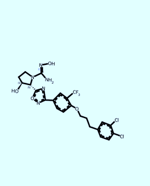 N/C(=N\O)N1CC[C@H](O)[C@H]1c1nc(-c2ccc(OCCCc3ccc(Cl)c(Cl)c3)c(C(F)(F)F)c2)no1